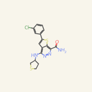 NC(=O)c1nnc(NC2CCSC2)c2cc(-c3cccc(Cl)c3)sc12